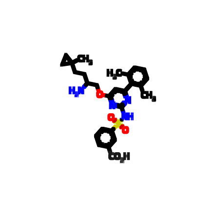 Cc1cccc(C)c1-c1cc(OCC(N)CCC2(C)CC2)nc(NS(=O)(=O)c2cccc(C(=O)O)c2)n1